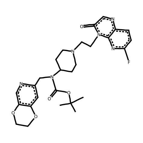 CC(C)(C)OC(=O)N(Cc1cc2c(cn1)OCCO2)C1CCN(CCn2c(=O)cnc3ccc(F)nc32)CC1